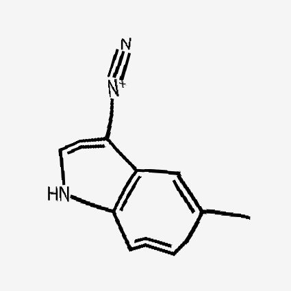 Cc1ccc2[nH]cc([N+]#N)c2c1